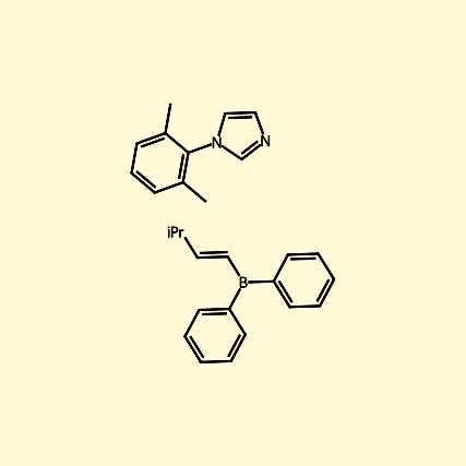 CC(C)C=CB(c1ccccc1)c1ccccc1.Cc1cccc(C)c1-n1ccnc1